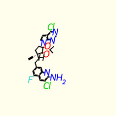 C#C[C@]1(CCc2cc(F)c3cc(Cl)c(N)nc3c2)CC[C@@]2(n3ccc4c(Cl)ncnc43)OC(C)(C)O[C@H]12